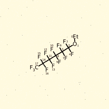 CCOC(F)(F)C(F)(F)C(F)(F)C(F)(F)C(F)(F)C(F)(F)F